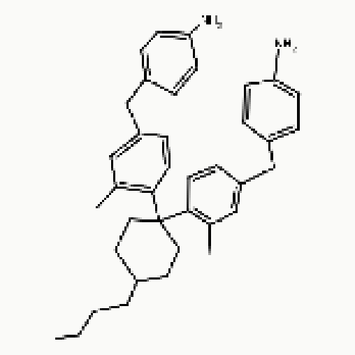 CCCCC1CCC(c2ccc(Cc3ccc(N)cc3)cc2C)(c2ccc(Cc3ccc(N)cc3)cc2C)CC1